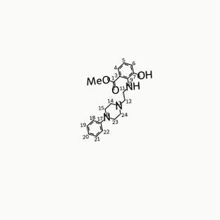 COC(=O)c1cccc(O)c1NCCN1CCN(c2ccccc2)CC1